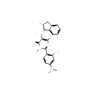 CCc1nc(-c2ccc(N(C)C)cc2C(F)(F)F)n(C)c(=O)c1N[C@@H]1c2ccccc2C[C@@H]1OC(C)=O